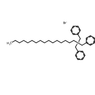 CCCCCCCCCCCCCCCC[N+](Cc1ccccc1)(Cc1ccccc1)Cc1ccccc1.[Br-]